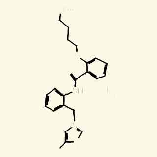 CCCCCCCCCCCCCCOc1ccccc1C(=O)Nc1ccccc1C[n+]1csc(C)c1.[Br-]